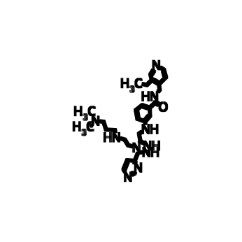 CCc1cnccc1CNC(=O)c1cccc(NCC2NNC(c3ccncn3)N2CCNCCCN(C)C)c1